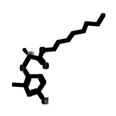 CCCCCCCCOC(=O)[C@@H](C)Oc1ccc(Cl)cc1C